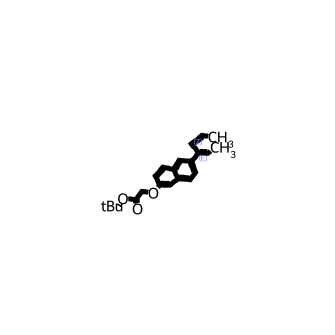 C/C=C\C(=C/C)c1ccc2cc(OCC(=O)OC(C)(C)C)ccc2c1